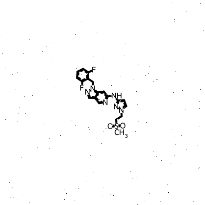 CS(=O)(=O)CCn1ccc(Nc2cc3c(cn2)cnn3Cc2c(F)cccc2F)n1